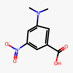 CN(C)c1cc(C(=O)O)cc([N+](=O)[O-])c1